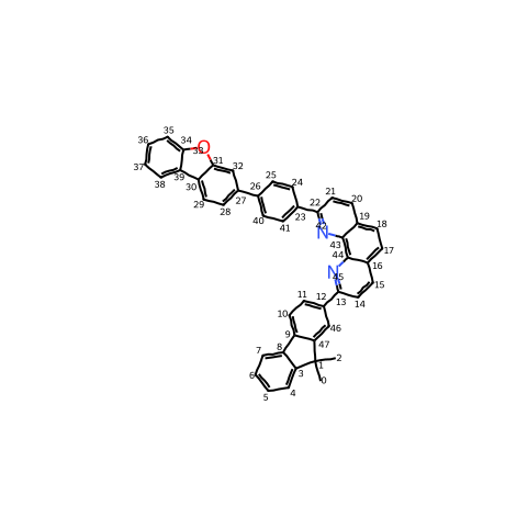 CC1(C)c2ccccc2-c2ccc(-c3ccc4ccc5ccc(-c6ccc(-c7ccc8c(c7)oc7ccccc78)cc6)nc5c4n3)cc21